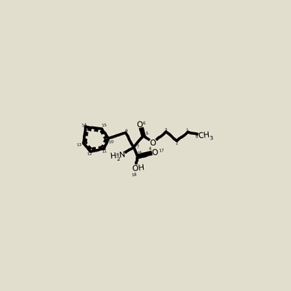 CCCCOC(=O)C(N)(Cc1ccccc1)C(=O)O